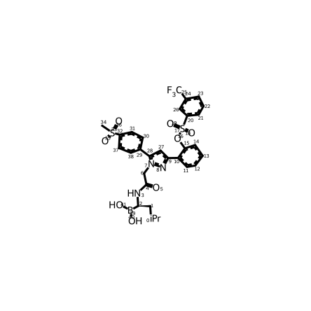 CC(C)C[C@H](NC(=O)Cn1nc(-c2ccccc2OS(=O)(=O)c2cccc(C(F)(F)F)c2)cc1-c1ccc(S(C)(=O)=O)cc1)B(O)O